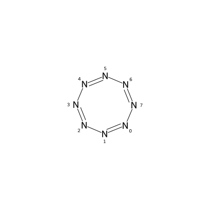 N1=NN=NN=NN=N1